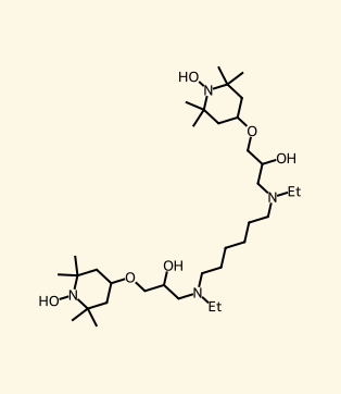 CCN(CCCCCCN(CC)CC(O)COC1CC(C)(C)N(O)C(C)(C)C1)CC(O)COC1CC(C)(C)N(O)C(C)(C)C1